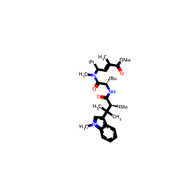 CN[C@H](C(=O)N[C@H](C(=O)N(C)C(/C=C(\C)C(=O)OC)C(C)C)C(C)(C)C)C(C)(C)c1cn(C)c2ccccc12